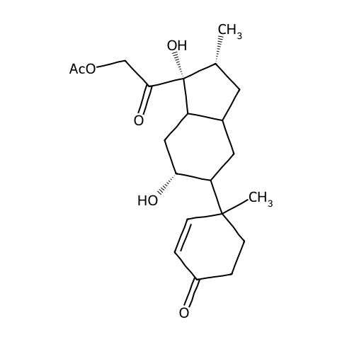 CC(=O)OCC(=O)[C@]1(O)C2C[C@@H](O)C(C3(C)C=CC(=O)CC3)CC2C[C@H]1C